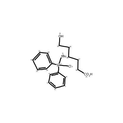 CC(C)(C)[Si](Cl)(c1ccccc1)c1ccccc1.O=C(O)CCCCCO